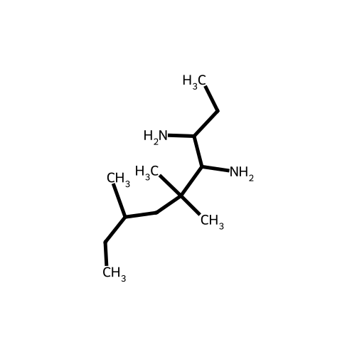 CCC(C)CC(C)(C)C(N)C(N)CC